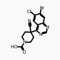 N#CC1(c2ncnc3cc(Br)c(Cl)cc23)CCN(C(=O)O)CC1